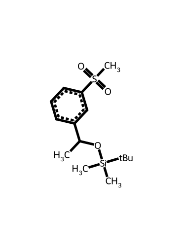 CC(O[Si](C)(C)C(C)(C)C)c1cccc(S(C)(=O)=O)c1